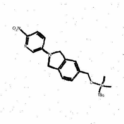 CC(C)(C)[Si](C)(C)OCc1ccc2c(c1)CN(c1ccc([N+](=O)[O-])nc1)C2